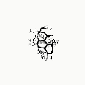 C=C[C@@]1(C)CC(=O)[C@@]2(O)[C@](C)(O1)[C@@H](O)[C@@H](O)C1C(C)(C)CC[C@H](O)[C@@]12C